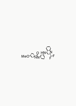 COc1ccc(C(=O)Nc2cccc(Nc3cc(C(F)F)nc4ccccc34)c2)cc1